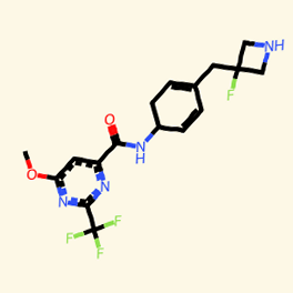 COc1cc(C(=O)NC2C=CC(CC3(F)CNC3)=CC2)nc(C(F)(F)F)n1